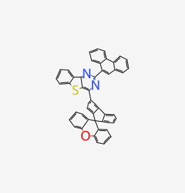 c1ccc2c(c1)Oc1ccccc1C21c2ccccc2-c2cc(-c3nc(-c4cc5ccccc5c5ccccc45)nc4c3sc3ccccc34)ccc21